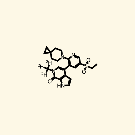 [2H]C([2H])([2H])n1cc(-c2cc(S(=O)(=O)CC)cnc2N2CCC3(CC2)CC3)c2cc[nH]c2c1=O